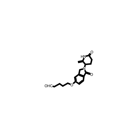 C=C1NC(=O)CCC1N1Cc2cc(OCCCCC=O)ccc2C1=O